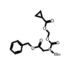 CC(C)(C)N(CC(=O)OCc1ccccc1)C(=O)OCOC(=O)C1CC1